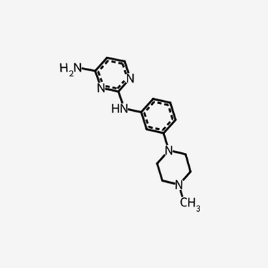 CN1CCN(c2cccc(Nc3nccc(N)n3)c2)CC1